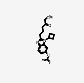 CC(C)(C)CC(=O)CCCc1nc2ccc(OC(F)F)cc2n1C1CCC1